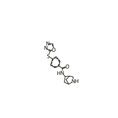 O=C(NC1CC2CC1CN2)c1ccc(Sc2nnco2)cc1